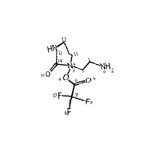 NCC[N+]1(OC(=O)C(F)(F)F)CCNC1=O